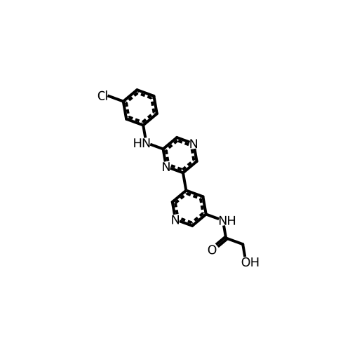 O=C(CO)Nc1cncc(-c2cncc(Nc3cccc(Cl)c3)n2)c1